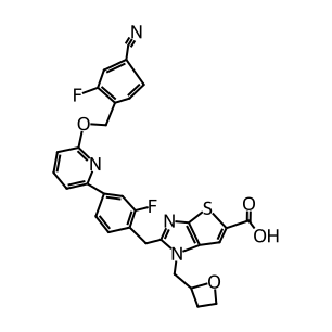 N#Cc1ccc(COc2cccc(-c3ccc(Cc4nc5sc(C(=O)O)cc5n4CC4CCO4)c(F)c3)n2)c(F)c1